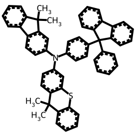 CC1(C)c2ccccc2Sc2cc(N(c3ccc(C4(c5ccccc5)c5ccccc5-c5ccccc54)cc3)c3ccc4c(c3)C(C)(C)c3ccccc3-4)ccc21